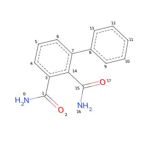 NC(=O)c1cccc(-c2ccccc2)c1C(N)=O